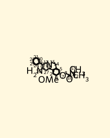 COc1cc2c(cc1OCC(=O)N(C)C)CCN1CC(c3ccccc3)C(N)CC21